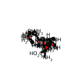 CC[C@H](C)[C@H](NC(=O)[C@H](CO)NC(=O)[C@H](CCCNC(=N)N)NC(=O)CNC(=O)CNC(=O)[C@H](CC(N)=O)NC(=O)[C@H](CO)NC(=O)[C@@H](NC(=O)[C@@H](N)Cc1ccc(O)cc1)[C@@H](C)CC)C(=O)N[C@@H](Cc1ccc(O)cc1)C(=O)N[C@@H](Cc1ccc(O)cc1)C(=O)N[C@@H](C)C(=O)N[C@@H](CC(=O)O)C(=O)N[C@@H](CO)C(=O)N[C@H](C(=O)N[C@@H](CCCCN)C(=O)NCC(=O)O)C(C)C